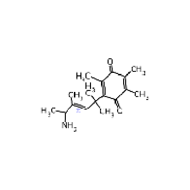 CC1=C(C)C(=O)C(C(C)(C)/C=C(\C)C(C)N)=C(C)C1=O